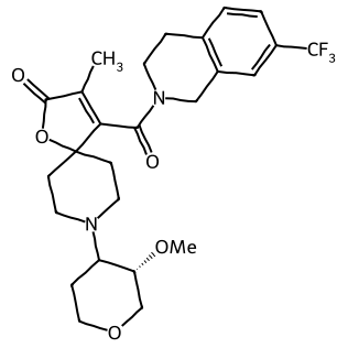 CO[C@@H]1COCCC1N1CCC2(CC1)OC(=O)C(C)=C2C(=O)N1CCc2ccc(C(F)(F)F)cc2C1